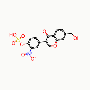 O=c1c(-c2ccc(OS(=O)(=O)O)c([N+](=O)[O-])c2)coc2cc(CO)ccc12